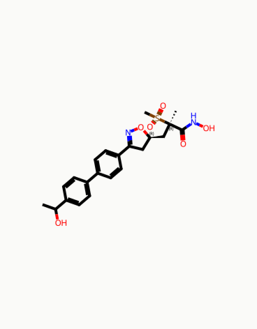 CC(O)c1ccc(-c2ccc(C3=NO[C@@H](C[C@](C)(C(=O)NO)S(C)(=O)=O)C3)cc2)cc1